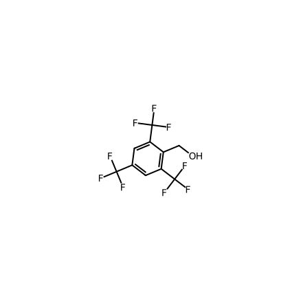 OCc1c(C(F)(F)F)cc(C(F)(F)F)cc1C(F)(F)F